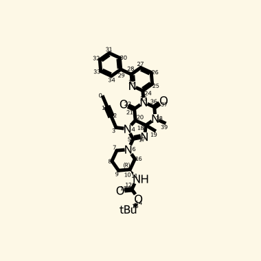 CC#CCN1C(N2CCC[C@@H](NC(=O)OC(C)(C)C)C2)=NC2(C)C1C(=O)N(c1cccc(-c3ccccc3)n1)C(=O)N2C